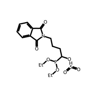 CCOP(OCC)C(CCCN1C(=O)c2ccccc2C1=O)O[SH](=O)=O